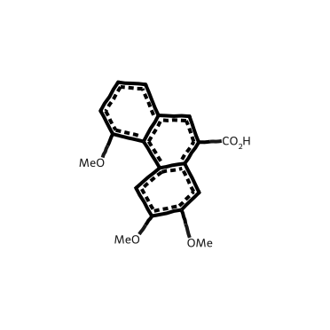 COc1cc2c(C(=O)O)cc3cccc(OC)c3c2cc1OC